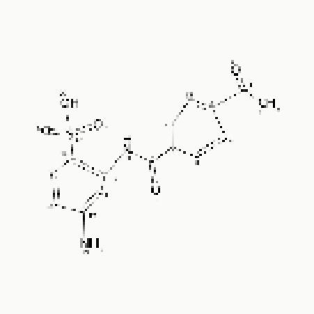 CC(=O)c1ccc(C(=O)Nc2cc(N)ccc2S(=O)(=O)O)cc1